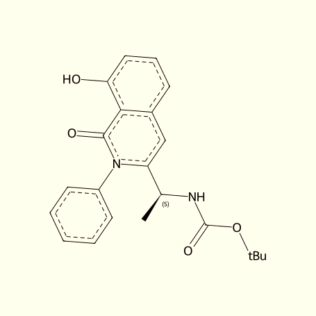 C[C@H](NC(=O)OC(C)(C)C)c1cc2cccc(O)c2c(=O)n1-c1ccccc1